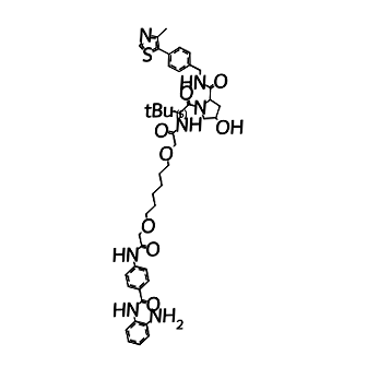 Cc1ncsc1-c1ccc(CNC(=O)C2CC(O)CN2C(=O)[C@@H](NC(=O)COCCCCCCOCC(=O)Nc2ccc(C(=O)Nc3ccccc3N)cc2)C(C)(C)C)cc1